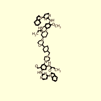 C=CC(=O)Nc1cc(Nc2nccc(-n3ccc4ccccc43)n2)c(OC)cc1N1CCC(N2CCOC(C3CCC(CN4CCN(c5cc(C=O)c(Nc6nccc(-n7ccc8ccccc87)n6)cc5NC(=O)C=C)CC4)CC3)C2)CC1